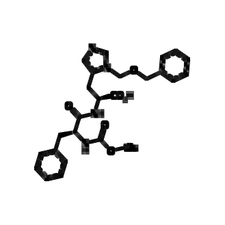 CC(C)(C)OC(=O)N[C@@H](Cc1ccccc1)C(=O)N[C@@H](Cc1cncn1COCc1ccccc1)C(=O)O